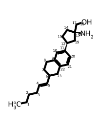 CCCCC=CC1CCc2cc([C@H]3CC[C@](N)(CO)C3)ccc2C1